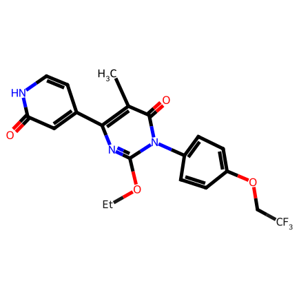 CCOc1nc(-c2cc[nH]c(=O)c2)c(C)c(=O)n1-c1ccc(OCC(F)(F)F)cc1